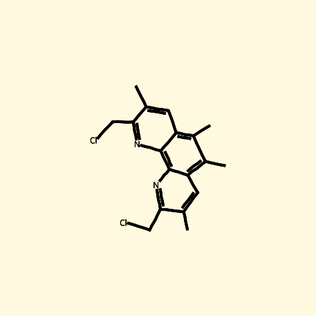 Cc1cc2c(C)c(C)c3cc(C)c(CCl)nc3c2nc1CCl